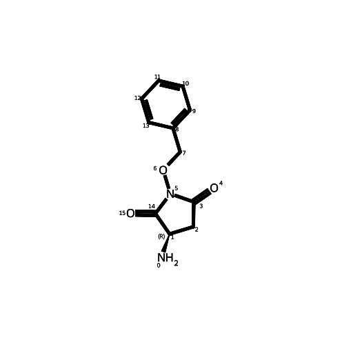 N[C@@H]1CC(=O)N(OCc2ccccc2)C1=O